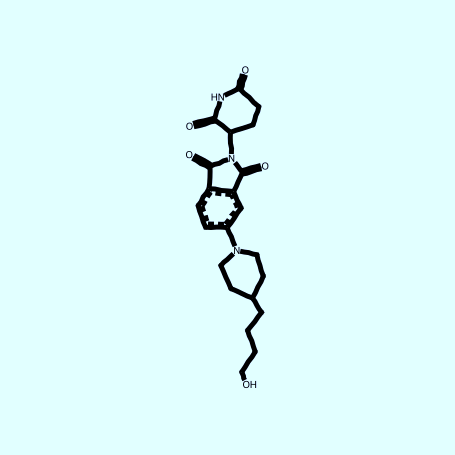 O=C1CCC(N2C(=O)c3ccc(N4CCC(CCCCO)CC4)cc3C2=O)C(=O)N1